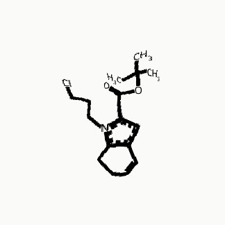 CC(C)(C)OC(=O)c1cc2c(n1CCCCl)CCC=C2